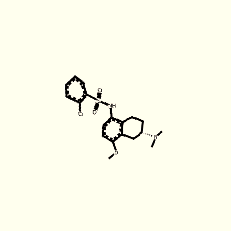 COc1ccc(NS(=O)(=O)c2ccccc2Cl)c2c1C[C@@H](N(C)C)CC2